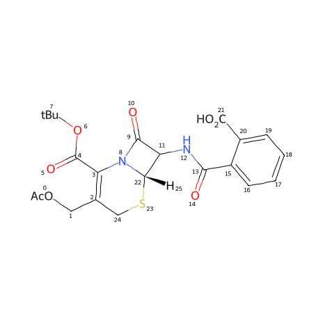 CC(=O)OCC1=C(C(=O)OC(C)(C)C)N2C(=O)C(NC(=O)c3ccccc3C(=O)O)[C@@H]2SC1